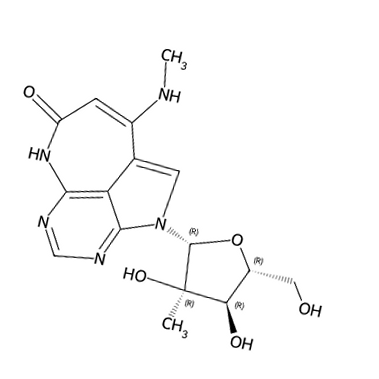 CNC1=CC(=O)Nc2ncnc3c2c1cn3[C@@H]1O[C@H](CO)[C@@H](O)[C@@]1(C)O